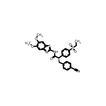 CCS(=O)(=O)c1ccc([C@@H](Cc2ccc(C#N)cc2)C(=O)Nc2nc3cc(OC)c(OC)cc3s2)cc1